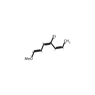 C\C=C/C(=C\C=C\OC)CC